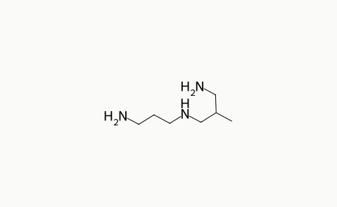 CC(CN)CNCCCN